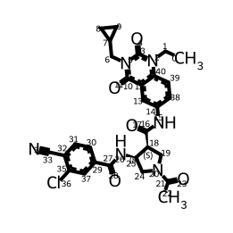 CCn1c(=O)n(CC2CC2)c(=O)c2cc(NC(=O)[C@H]3CN(C(C)=O)C[C@H]3NC(=O)c3ccc(C#N)c(Cl)c3)ccc21